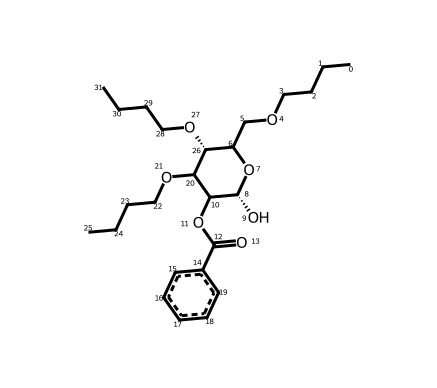 CCCCOCC1O[C@H](O)C(OC(=O)c2ccccc2)C(OCCCC)[C@@H]1OCCCC